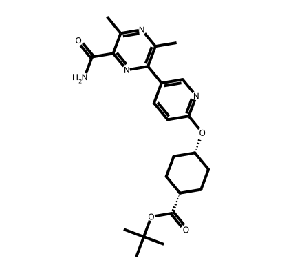 Cc1nc(C)c(-c2ccc(O[C@H]3CC[C@@H](C(=O)OC(C)(C)C)CC3)nc2)nc1C(N)=O